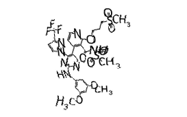 COc1cc(Nc2ncc(-c3ccnc(OCCCS(C)(=O)=O)c3C(=O)NS(C)(=O)=O)c(-n3ccc(C(F)(F)F)n3)n2)cc(OC)c1